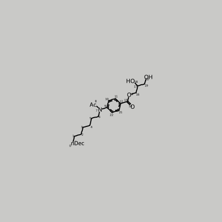 CCCCCCCCCCCCCCCCN(C(C)=O)c1ccc(C(=O)OCC(O)CO)cc1